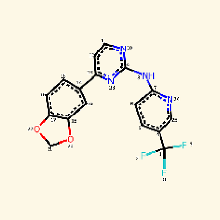 FC(F)(F)c1ccc(Nc2nccc(-c3ccc4c(c3)OCO4)n2)nc1